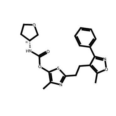 Cc1nc(CCc2c(-c3ccccc3)noc2C)sc1OC(=O)N[C@@H]1CCOC1